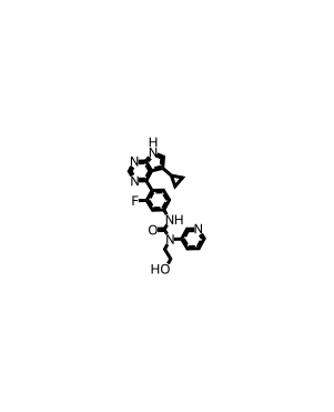 O=C(Nc1ccc(-c2ncnc3[nH]cc(C4CC4)c23)c(F)c1)N(CCO)c1cccnc1